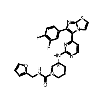 O=C(NCc1ccco1)N1CCC[C@@H](Nc2nccc(-c3c(-c4ccc(F)c(F)c4)nc4sccn34)n2)C1